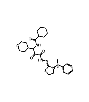 C[C@@H](c1ccccc1)N1CCSC1=NNC(=O)C(=O)C(NC(=O)C1CCCCC1)C1CCOCC1